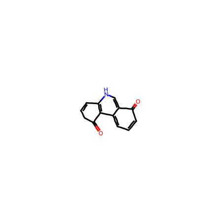 O=C1CC=Cc2[nH]cc3c(=O)cccc-3c21